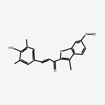 CCSc1ccc2c(C)c(C(=O)/C=C/c3cc(C)c(O)c(C)c3)sc2c1